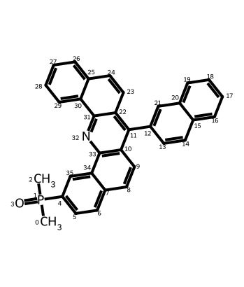 CP(C)(=O)c1ccc2ccc3c(-c4ccc5ccccc5c4)c4ccc5ccccc5c4nc3c2c1